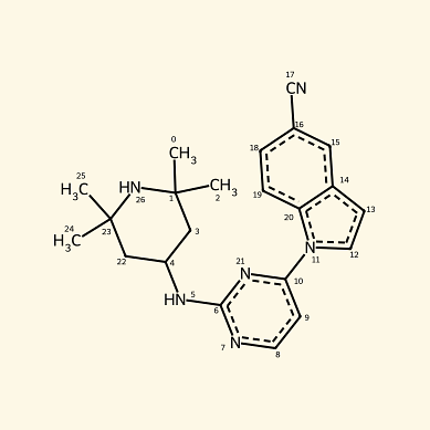 CC1(C)CC(Nc2nccc(-n3ccc4cc(C#N)ccc43)n2)CC(C)(C)N1